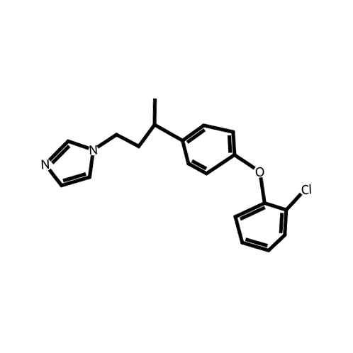 CC(CCn1ccnc1)c1ccc(Oc2ccccc2Cl)cc1